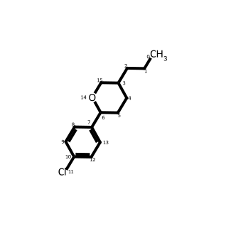 CCCC1CCC(c2ccc(Cl)cc2)OC1